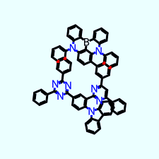 c1ccc(-c2cc(-c3cccc(-c4ccc5c6c4N(c4ccccc4)c4ccccc4B6c4ccccc4N5c4ccccc4)c3)nc(-c3cc(-c4nc(-c5ccccc5)nc(-c5ccccc5)n4)ccc3-n3c4ccccc4c4ccccc43)n2)cc1